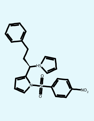 O=[N+]([O-])c1ccc(S(=O)(=O)n2cccc2[C@@H](CCc2ccccc2)[SH]2C=CC=C2)cc1